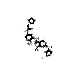 Cc1ncc(NC(=O)CN2CCCC2)cc1Nc1nn(C)c2nc(Nc3cnn(C)c3)ncc12